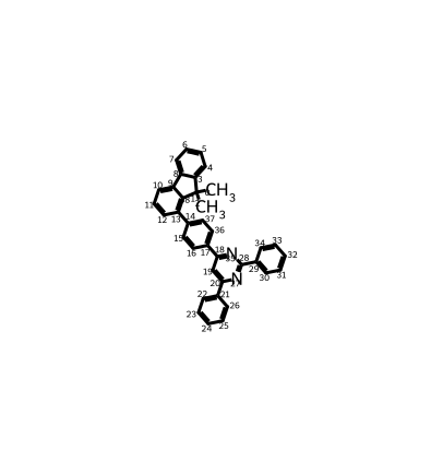 CC1(C)c2ccccc2-c2cccc(-c3ccc(-c4cc(-c5ccccc5)nc(-c5ccccc5)n4)cc3)c21